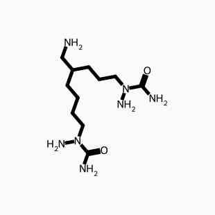 NCC(CCCCN(N)C(N)=O)CCCN(N)C(N)=O